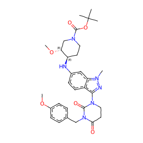 COc1ccc(CN2C(=O)CCN(c3nn(C)c4cc(N[C@@H]5CCN(C(=O)OC(C)(C)C)C[C@H]5OC)ccc34)C2=O)cc1